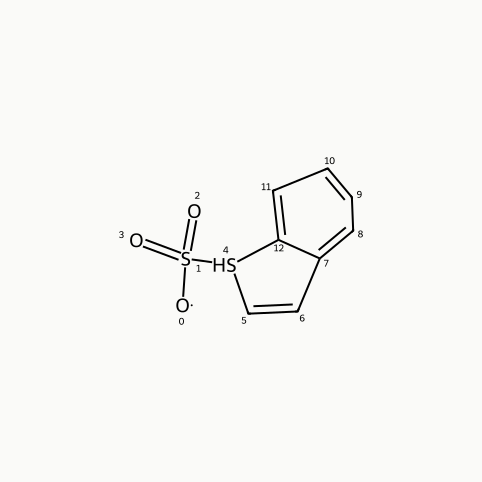 [O]S(=O)(=O)[SH]1C=Cc2ccccc21